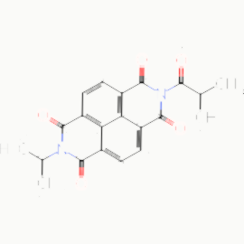 CC(C)C(=O)N1C(=O)c2ccc3c4c(ccc(c24)C1=O)C(=O)N(C(C)C)C3=O